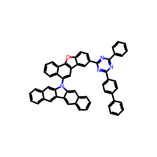 c1ccc(-c2ccc(-c3nc(-c4ccccc4)nc(-c4ccc5oc6c7ccccc7c(-n7c8cc9ccccc9cc8c8cc9ccccc9cc87)cc6c5c4)n3)cc2)cc1